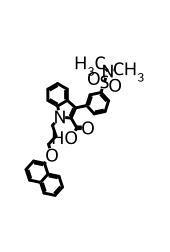 CN(C)S(=O)(=O)c1cccc(-c2c(C(=O)O)n(CCCOc3cccc4ccccc34)c3ccccc23)c1